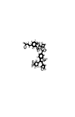 CC(=O)/C=C/c1ccc2nc(C3(NC(=O)c4ccc5c(C6CCC(F)(F)C6)c(-c6ccoc6)n(C)c5c4)CCC3)n(C)c2c1